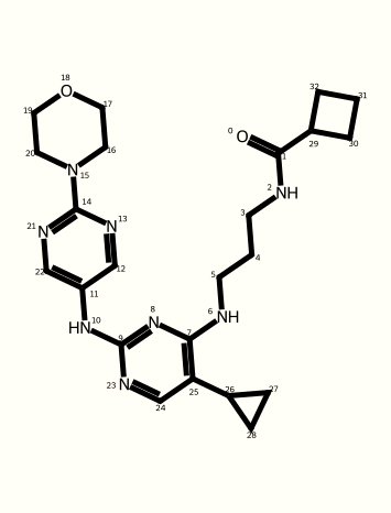 O=C(NCCCNc1nc(Nc2cnc(N3CCOCC3)nc2)ncc1C1CC1)C1CCC1